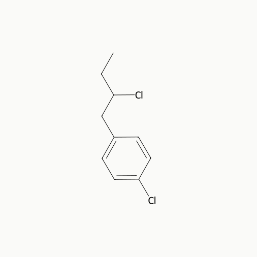 CCC(Cl)Cc1ccc(Cl)cc1